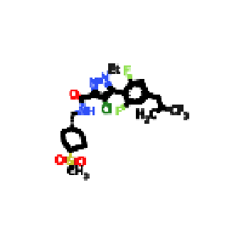 CCn1nc(C(=O)NC[C@H]2CC[C@H](S(C)(=O)=O)CC2)c(Cl)c1-c1c(F)cc(CC(C)C(F)(F)F)cc1F